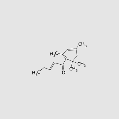 CCC=CC(=O)C1=C(C)C=C(C)CC1(C)C